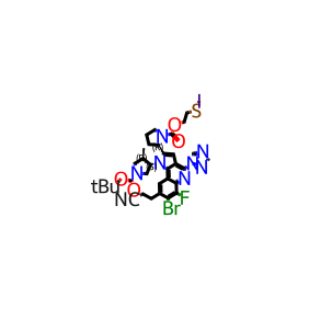 C[C@@H]1CN(C(=O)OC(C)(C)C)C[C@H]1n1c([C@H]2CCCN2C(=O)OCCSI)cc2c(-n3cncn3)nc3c(F)c(Br)c(CCC#N)cc3c21